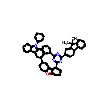 CC1(C)C2=CC(c3nc(-c4ccccc4)nc(-c4cccc5oc6ccc(-c7ccc8c(c7)c7ccccc7n8-c7ccccc7)cc6c45)n3)=CCC2c2ccccc21